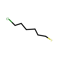 [S]CCCCCCCl